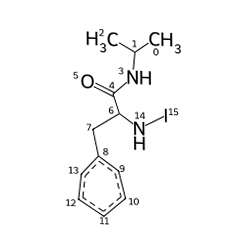 CC(C)NC(=O)C(Cc1ccccc1)NI